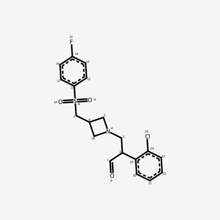 O=CC(CN1CC(CS(=O)(=O)c2ccc(F)cc2)C1)c1ccccc1Cl